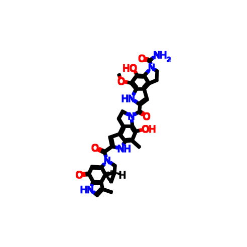 COc1c(O)c2c(c3cc(C(=O)N4CCc5c4c(O)c(C)c4[nH]c(C(=O)N6C[C@H]7C[C@@]78C6=CC(=O)c6[nH]cc(C)c68)cc54)[nH]c13)CCN2C(N)=O